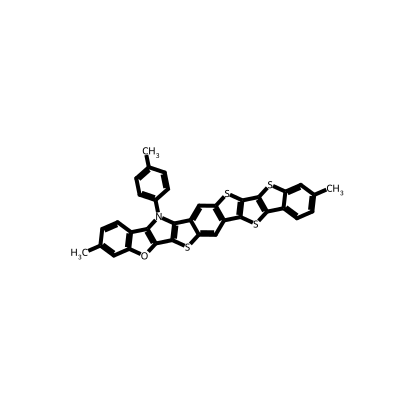 Cc1ccc(-n2c3c4ccc(C)cc4oc3c3sc4cc5c(cc4c32)sc2c5sc3c4ccc(C)cc4sc32)cc1